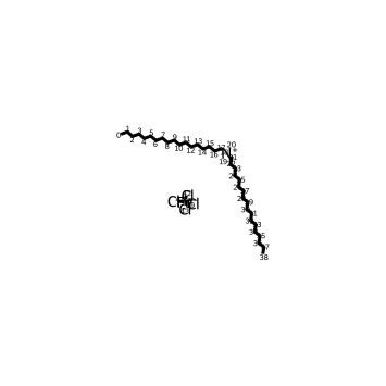 CCCCCCCCCCCCCCCCCC[N+](C)(C)CCCCCCCCCCCCCCCCCC.[Cl][Fe-]([Cl])([Cl])[Cl]